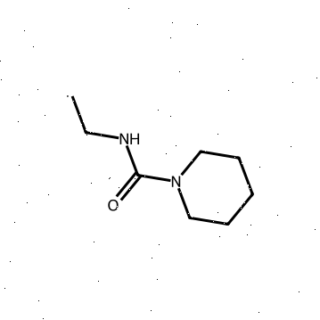 [CH2]CNC(=O)N1CCCCC1